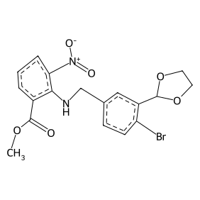 COC(=O)c1cccc([N+](=O)[O-])c1NCc1ccc(Br)c(C2OCCO2)c1